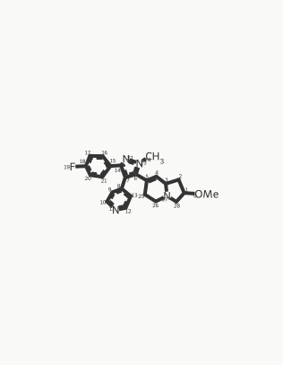 COC1CC2C=C(c3c(-c4ccncc4)c(-c4ccc(F)cc4)nn3C)CCN2C1